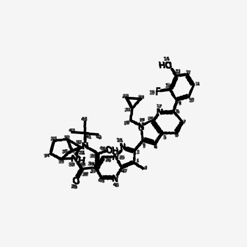 Cc1c(-c2cc3ccc(-c4cccc(O)c4F)nc3n2CC2CC2)nn2cc(C(=O)N3CC4CCC3[C@@H]4N(C(=O)O)C(C)(C)C)cnc12